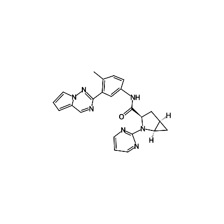 Cc1ccc(NC(=O)[C@H]2C[C@H]3C[C@H]3N2c2ncccn2)cc1-c1ncc2cccn2n1